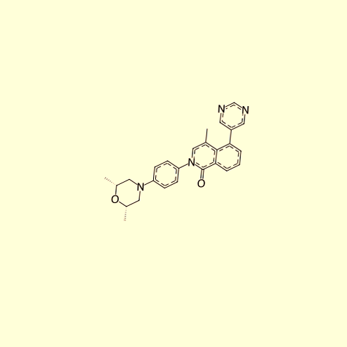 Cc1cn(-c2ccc(N3C[C@@H](C)O[C@@H](C)C3)cc2)c(=O)c2cccc(-c3cncnc3)c12